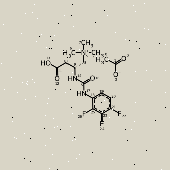 CC(=O)[O-].C[N+](C)(C)C[C@@H](CC(=O)O)NC(=O)Nc1ccc(F)c(F)c1F